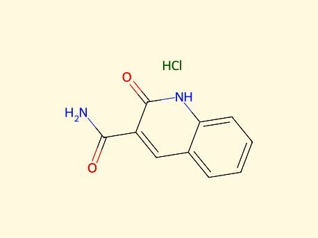 Cl.NC(=O)c1cc2ccccc2[nH]c1=O